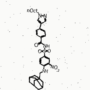 CCCCCCCCn1cc(-c2ccc(C(=O)NS(=O)(=O)c3ccc(NCC45CC6CC(CC(C6)C4)C5)c([N+](=O)[O-])c3)cc2)cn1